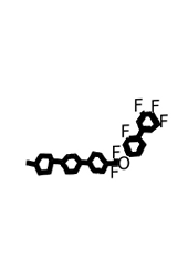 CC1CCC(C2CCC(C3CCC(C(F)(F)Oc4ccc(-c5cc(F)c(F)c(F)c5)c(F)c4)CC3)CC2)CC1